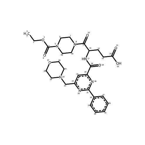 CCOC(=O)N1CCN(C(=O)C(CCC(=O)O)NC(=O)c2cc(CN3CCOCC3)nc(-c3ccccc3)n2)CC1